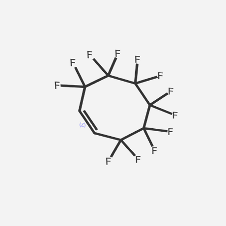 FC1(F)/C=C\C(F)(F)C(F)(F)C(F)(F)C(F)(F)C1(F)F